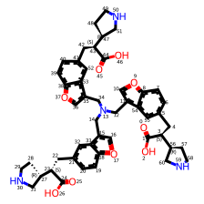 O=C(O)[C@@H](Cc1ccc2occ(CN(Cc3coc4ccc(C[C@H](C(=O)O)[C@H]5CCNC5)cc34)Cc3coc4ccc(C[C@H](C(=O)O)[C@H]5CCNC5)cc34)c2c1)[C@H]1CCNC1